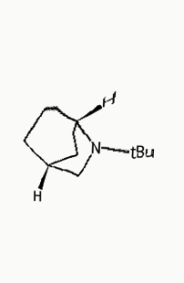 CC(C)(C)N1C[C@@H]2CC[C@H]1C2